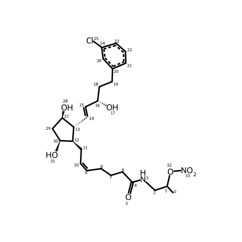 CC(CNC(=O)CCC/C=C\C[C@@H]1[C@@H](/C=C/[C@@H](O)CCc2cccc(Cl)c2)[C@H](O)C[C@@H]1O)O[N+](=O)[O-]